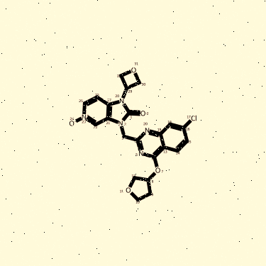 O=c1n(Cc2nc(OC3CCOC3)c3ccc(Cl)cc3n2)c2c[n+]([O-])ccc2n1C1COC1